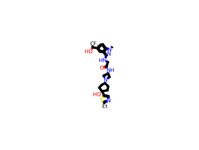 CCc1ncc([C@]2(O)CC[C@H](N3CC(NC(=O)CNc4nn(C)c5ccc(C(O)C(F)(F)F)cc45)C3)CC2)s1